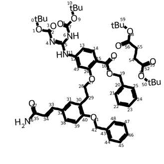 CC(C)(C)OC(=O)/N=C(\NC(=O)OC(C)(C)C)Nc1ccc(C(=O)OCc2ccccc2)c(OCCc2cc(/C=C/C(N)=O)ccc2OCc2ccccc2)c1.CC(C)(C)OC(=O)CCC(=O)OC(C)(C)C